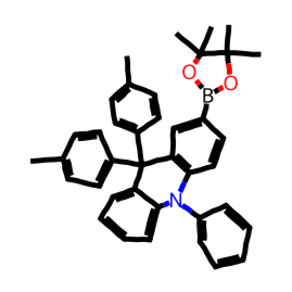 Cc1ccc(C2(c3ccc(C)cc3)c3ccccc3N(c3ccccc3)c3ccc(B4OC(C)(C)C(C)(C)O4)cc32)cc1